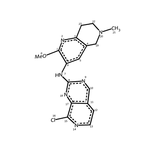 COc1nc2c(cc1Nc1ncc3ccnc(Cl)c3n1)CN(C)CC2